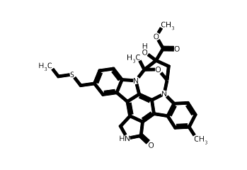 CCSCc1ccc2c(c1)c1c3c(c4c5cc(C)ccc5n5c4c1n2C1(C)OC5CC1(O)C(=O)OC)C(=O)NC3